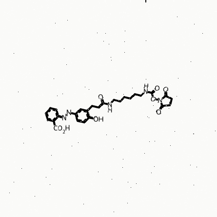 O=C(CCc1cc(/N=N/c2ccccc2C(=O)O)ccc1O)NCCCCCCNC(=O)ON1C(=O)CCC1=O